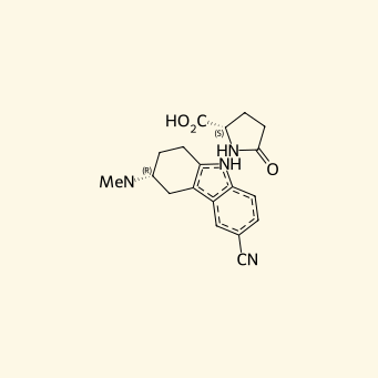 CN[C@@H]1CCc2[nH]c3ccc(C#N)cc3c2C1.O=C1CC[C@@H](C(=O)O)N1